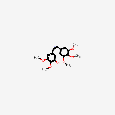 COc1cc(/C=C\c2cc(OC)c(OC)c(OC)c2)cc(O)c1OC